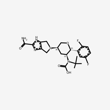 CC(C)(C)N(C(=O)O)[C@H]1C[C@@H](N2Cc3nc(C(N)=O)[nH]c3C2)CO[C@@H]1c1cc(F)ccc1F